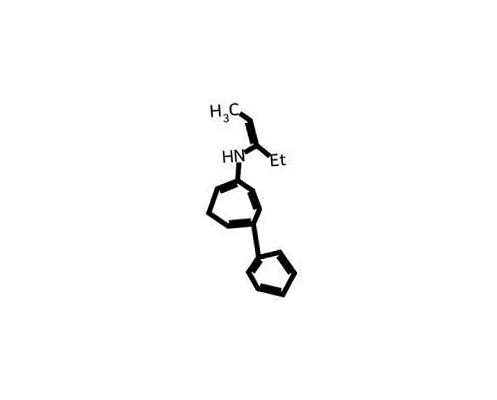 C/C=C(/CC)NC1=CCC=C(c2ccccc2)C=C1